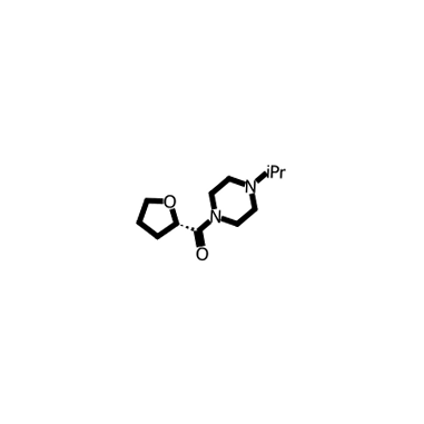 CC(C)N1CCN(C(=O)[C@@H]2CCCO2)CC1